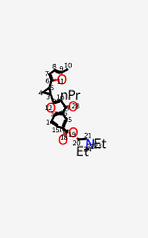 CCCc1c(C2CC2c2ccc(C)o2)oc2ccc(C(=O)OCCN(CC)CC)cc2c1=O